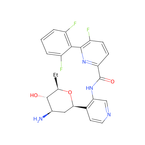 CC[C@H]1O[C@@H](c2ccncc2NC(=O)c2ccc(F)c(-c3c(F)cccc3F)n2)C[C@@H](N)[C@@H]1O